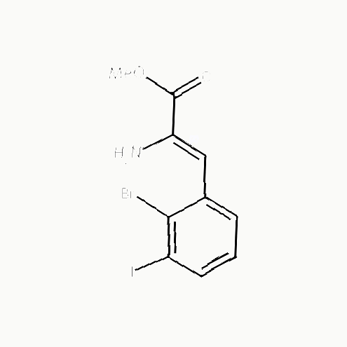 COC(=O)/C(N)=C/c1cccc(I)c1Br